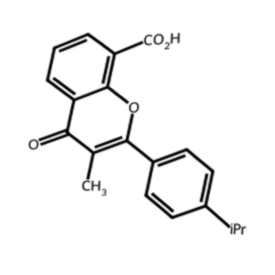 Cc1c(-c2ccc(C(C)C)cc2)oc2c(C(=O)O)cccc2c1=O